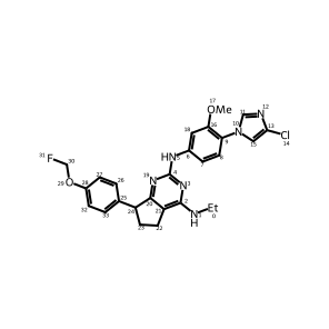 CCNc1nc(Nc2ccc(-n3cnc(Cl)c3)c(OC)c2)nc2c1CCC2c1ccc(OCF)cc1